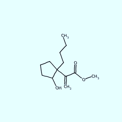 C=C(C(=O)OC)C1(CCCC)CCCC1O